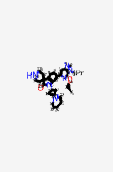 CC(C)n1cnc2cc(-c3ccc4c(c3)N([C@H]3C[C@@H](N5CCCCC5)C3)C(=O)C43CCNCC3)nc(OC3CC3)c21